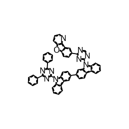 c1ccc(-c2nc(-c3ccccc3)nc(-n3c4ccccc4c4cc(-c5ccc6c7ccccc7n(-c7ncnc(-c8ccc9oc%10cccnc%10c9c8)n7)c6c5)ccc43)n2)cc1